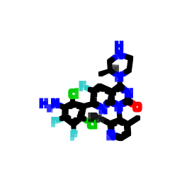 Cc1ccnc(C(C)C)c1-n1c(=O)nc(N2CCNC[C@@H]2C)c2cc(F)c(-c3c(Cl)c(N)c(F)c(F)c3Cl)nc21